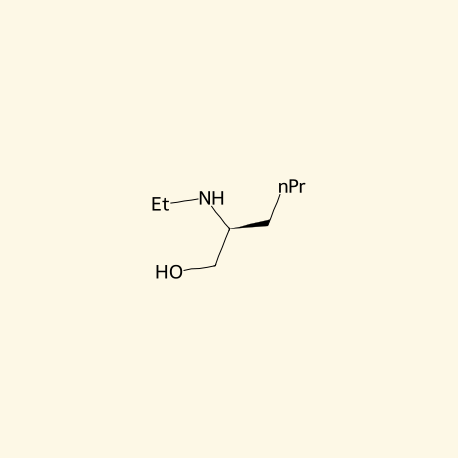 CCCC[C@@H](CO)NCC